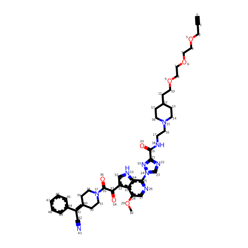 C#CCOCCOCCOCCC1CCN(CCNC(=O)c2ncn(-c3ncc(OC)c4c(C(=O)C(=O)N5CCC(=C(C#N)c6ccccc6)CC5)c[nH]c34)n2)CC1